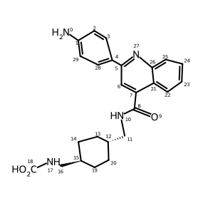 Nc1ccc(-c2cc(C(=O)NC[C@H]3CC[C@H](CNC(=O)O)CC3)c3ccccc3n2)cc1